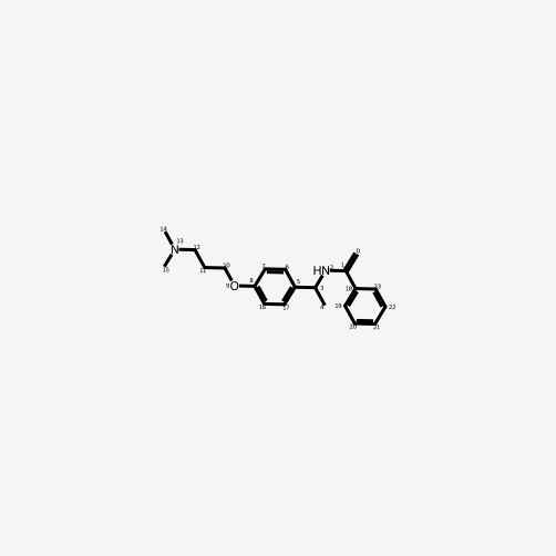 C=C(NC(C)c1ccc(OCCCN(C)C)cc1)c1ccccc1